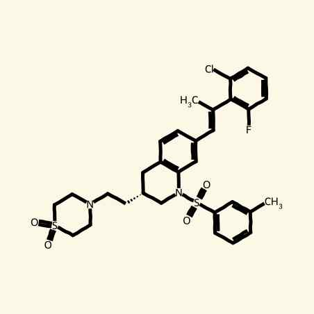 C/C(=C\c1ccc2c(c1)N(S(=O)(=O)c1cccc(C)c1)C[C@H](CCN1CCS(=O)(=O)CC1)C2)c1c(F)cccc1Cl